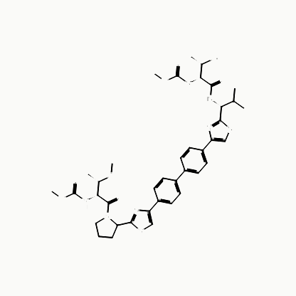 COC(=O)N[C@H](C(=O)N[C@H](c1nc(-c2ccc(-c3ccc(-c4c[nH]c(C5CCCN5C(=O)[C@@H](NC(=O)OC)[C@@H](C)OC)n4)cc3)cc2)c[nH]1)C(C)C)[C@@H](C)O